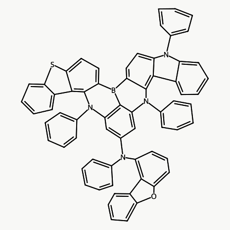 c1ccc(N(c2cc3c4c(c2)N(c2ccccc2)c2c(ccc5c2c2ccccc2n5-c2ccccc2)B4c2ccc4sc5ccccc5c4c2N3c2ccccc2)c2cccc3oc4ccccc4c23)cc1